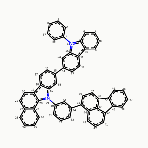 c1ccc(-n2c3ccccc3c3ccc(-c4ccc5c6ccc7ccccc7c6n(-c6cccc(-c7ccc8c9c(cccc79)-c7ccccc7-8)c6)c5c4)cc32)cc1